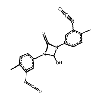 Cc1ccc(N2C(=O)N(c3ccc(C)c(N=C=O)c3)C2O)cc1N=C=O